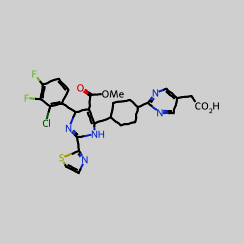 COC(=O)C1=C(C2CCC(c3ncc(CC(=O)O)cn3)CC2)NC(c2nccs2)=NC1c1ccc(F)c(F)c1Cl